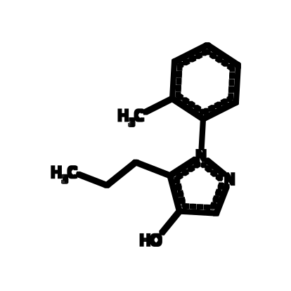 CCCc1c(O)cnn1-c1ccccc1C